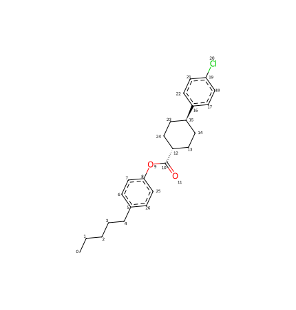 CCCCCc1ccc(OC(=O)[C@H]2CC[C@H](c3ccc(Cl)cc3)CC2)cc1